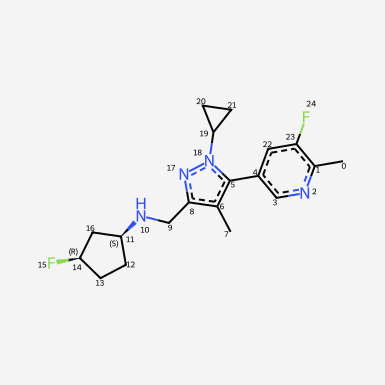 Cc1ncc(-c2c(C)c(CN[C@H]3CC[C@@H](F)C3)nn2C2CC2)cc1F